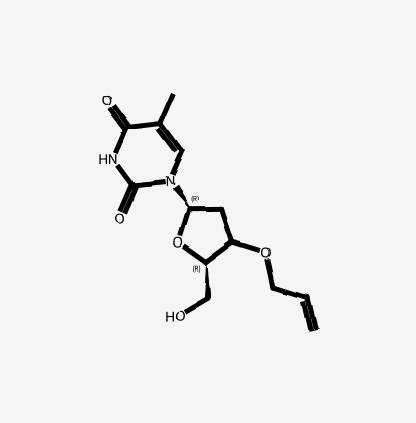 C=CCOC1C[C@H](n2cc(C)c(=O)[nH]c2=O)O[C@@H]1CO